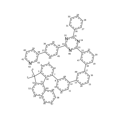 CC1(C)c2cccc(-c3cccc(-c4cccc(-c5cccc(-c6nc(-c7ccccc7)nc(-c7ccc(-c8cccnc8)cc7)n6)c5)c4)c3)c2-c2c1ccc1ccccc21